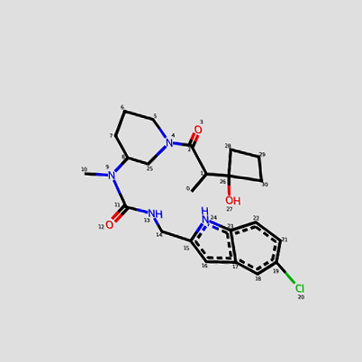 CC(C(=O)N1CCCC(N(C)C(=O)NCc2cc3cc(Cl)ccc3[nH]2)C1)C1(O)CCC1